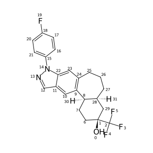 O[C@@]1(C(F)(F)F)CC[C@H]2c3cc4cnn(-c5ccc(F)cc5)c4cc3CCC[C@H]2C1